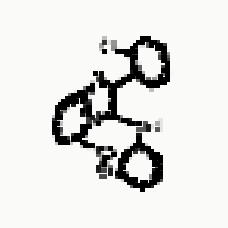 CCOc1cccc2nc(-c3ccccc3Cl)c(Nc3ccccc3)n12